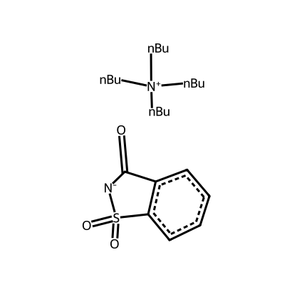 CCCC[N+](CCCC)(CCCC)CCCC.O=C1[N-]S(=O)(=O)c2ccccc21